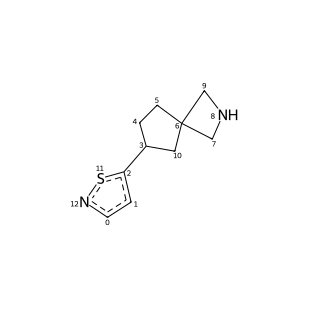 c1cc(C2CCC3(CNC3)C2)sn1